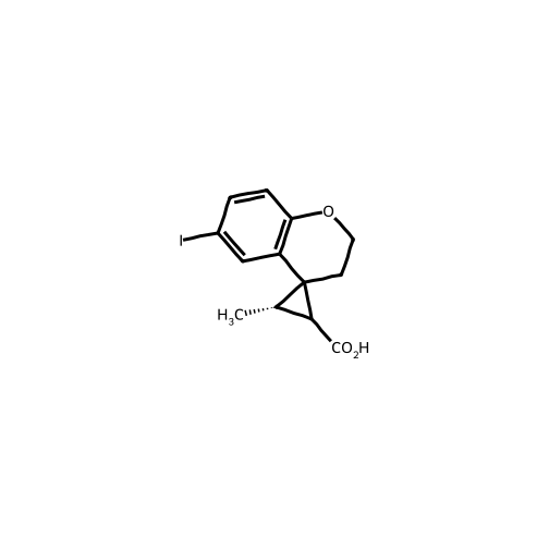 C[C@H]1C(C(=O)O)C12CCOc1ccc(I)cc12